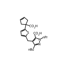 CCCCc1nn(CCC)c(C(=O)O)c1Cc1ccc(C2(C(=O)O)CC=CC2)s1